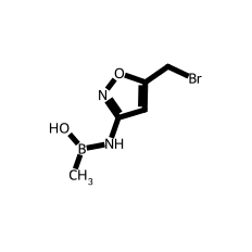 CB(O)Nc1cc(CBr)on1